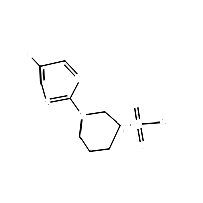 NS(=O)(=O)[C@@H]1CCCN(c2ncc(F)cn2)C1